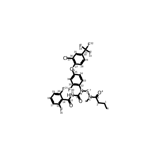 CCCC(=O)N(C)SN(C(=O)NC(=O)c1c(F)cccc1F)c1ccc(Oc2ccc(C(F)(F)F)cc2Cl)cc1F